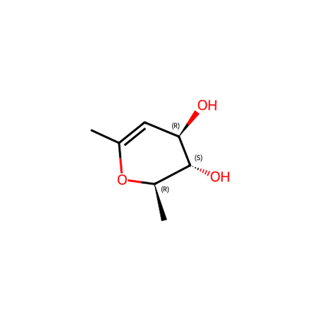 CC1=C[C@@H](O)[C@H](O)[C@@H](C)O1